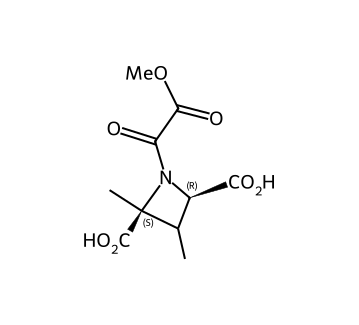 COC(=O)C(=O)N1[C@@H](C(=O)O)C(C)[C@@]1(C)C(=O)O